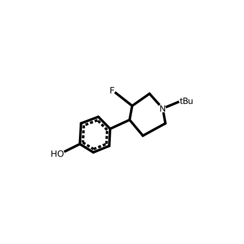 CC(C)(C)N1CCC(c2ccc(O)cc2)C(F)C1